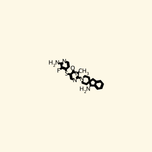 Cn1c(N2CCC3(CC2)Cc2ccccc2[C@H]3N)ncc(Sc2ccnc(N)c2F)c1=O